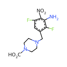 Nc1c(F)c(CN2CCN(C(=O)O)CC2)cc(F)c1[N+](=O)[O-]